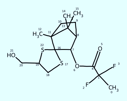 CC(F)(F)C(=O)OC1C2CCC(C)(C2(C)C)C12SCC(CO)S2